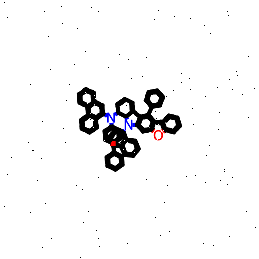 C1=CC(N(c2ccc(-c3ccccc3)cc2)c2cc3ccccc3c3ccccc23)C2C(=C1)c1c(cc3oc4ccccc4c3c1-c1ccccc1)N2c1cccc2ccccc12